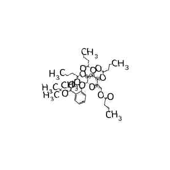 CCCC(=O)OC[C@H]1OC(Oc2ccccc2C(=O)OC(C)(C)C)[C@H](OC(=O)CCC)[C@@H](OC(=O)CCC)[C@@H]1OC(=O)CCC